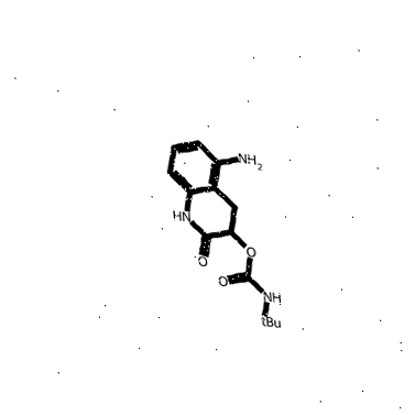 CC(C)(C)NC(=O)OC1Cc2c(N)cccc2NC1=O